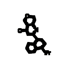 CC(C)c1ccc(-c2cc(=O)c3coccc-3n2)c2ccccc12